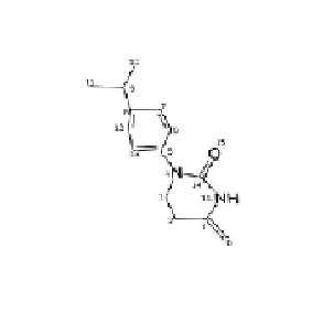 C=C1CCN(c2ccc(C(C)C)cc2)C(=O)N1